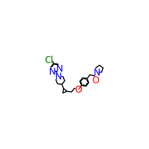 O=C(Cc1ccc(OCCC2CC2C2CCN(c3ncc(Cl)cn3)CC2)cc1)N1CCCC1